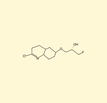 O[C@H](CF)COC1CCC2N=C(Cl)CCC2C1